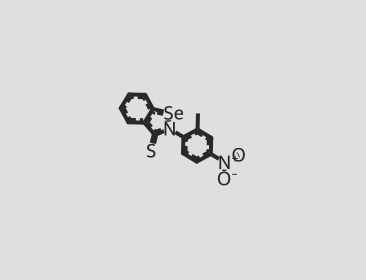 Cc1cc([N+](=O)[O-])ccc1-n1[se]c2ccccc2c1=S